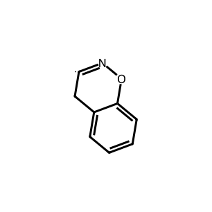 [C]1=NOc2ccccc2C1